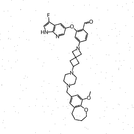 COc1cc(CN2CCN(C3CC4(C3)CN(c3ccc(C=O)c(Oc5cnc6[nH]cc(F)c6c5)c3)C4)CC2)cc2c1OCCCC2